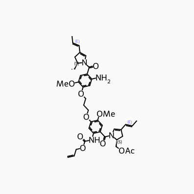 [CH2][C@H]1CC(/C=C/C)=CN1C(=O)c1cc(OC)c(OCCCOc2cc(NC(=O)OCC=C)c(C(=O)N3C=C(/C=C/C)C[C@H]3COC(C)=O)cc2OC)cc1N